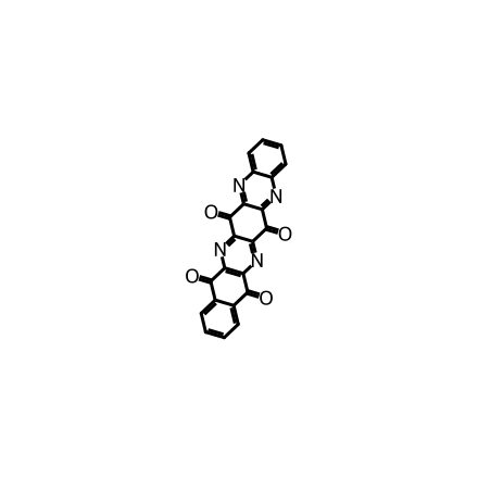 O=c1c2ccccc2c(=O)c2nc3c(=O)c4nc5ccccc5nc4c(=O)c3nc12